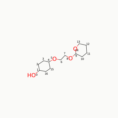 OC1CCC(OCCOC2CCCCO2)CC1